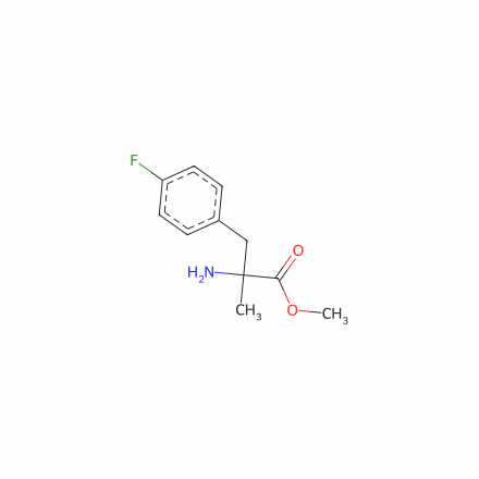 COC(=O)C(C)(N)Cc1ccc(F)cc1